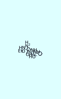 CCOC(=N)c1c(N)cc(NC(=O)N[C@@H](c2ccccc2)C(C)(C)O)nc1CO